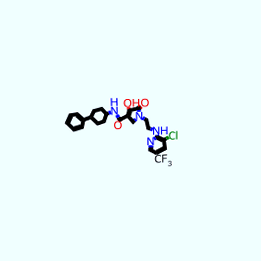 O=C(NC1CCC(c2ccccc2)CC1)C1=C(O)C(=O)N(CCNc2ncc(C(F)(F)F)cc2Cl)C1